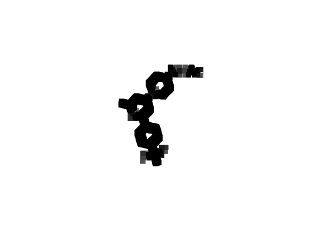 CC(=O)NC1CCN(c2cc(C)nc(-c3ccc(C(C)(F)F)cc3)c2)CC1